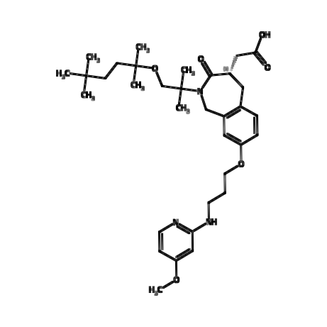 COc1ccnc(NCCCOc2ccc3c(c2)CN(C(C)(C)COC(C)(C)CCC(C)(C)C)C(=O)[C@H](CC(=O)O)C3)c1